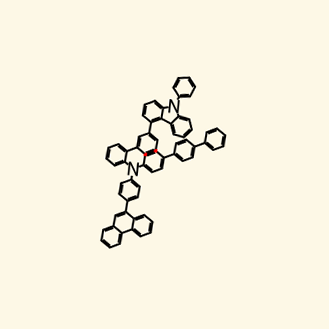 c1ccc(-c2ccc(-c3ccc(N(c4ccc(-c5cc6ccccc6c6ccccc56)cc4)c4ccccc4-c4cccc(-c5cccc6c5c5ccccc5n6-c5ccccc5)c4)cc3)cc2)cc1